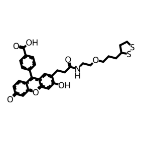 O=C(CCc1cc2c(-c3ccc(C(=O)O)cc3)c3ccc(=O)cc-3oc2cc1O)NCCOCCCC1CCSS1